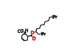 CC(C)CCCCCCCC(CC(C)C)OC(=O)C1CC=CCC1C(=O)O